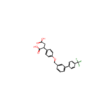 O=C(O)CC(C(=O)O)c1ccc(OCc2cccc(-c3ccc(C(F)(F)F)cc3)c2)cc1